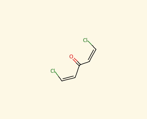 O=C(/C=C\Cl)/C=C\Cl